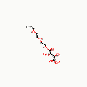 CCOCCOCCOC(=O)C(O)C(O)C(=O)O